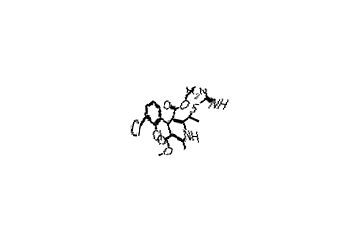 CCOC(=O)C1=C(C(C)SC(=N)N)NC(C)=C(C(=O)OC)C1c1cccc(Cl)c1Cl